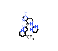 FC(F)(F)c1cccn2nc([C@@H]3c4nc[nH]c4CCN3c3ncccn3)cc12